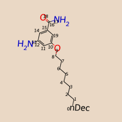 CCCCCCCCCCCCCCCCCCOc1cc(N)cc(C(N)=O)c1